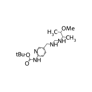 COC(C)C(C)NCNCc1ccc(NC(=O)OC(C)(C)C)nc1